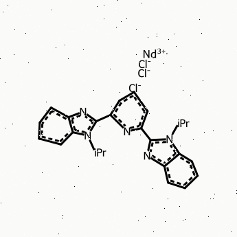 CC(C)n1c(-c2cccc(-c3nc4ccccc4n3C(C)C)n2)nc2ccccc21.[Cl-].[Cl-].[Cl-].[Nd+3]